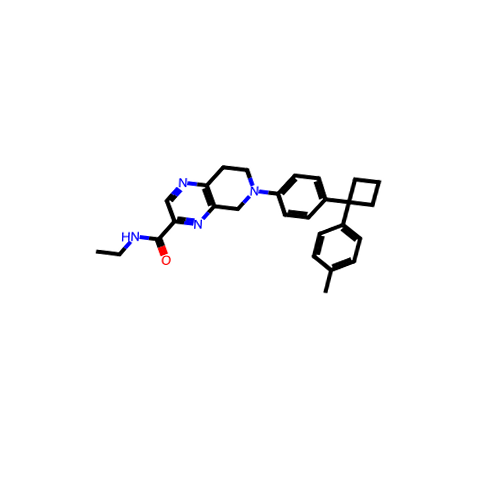 CCNC(=O)c1cnc2c(n1)CN(c1ccc(C3(c4ccc(C)cc4)CCC3)cc1)CC2